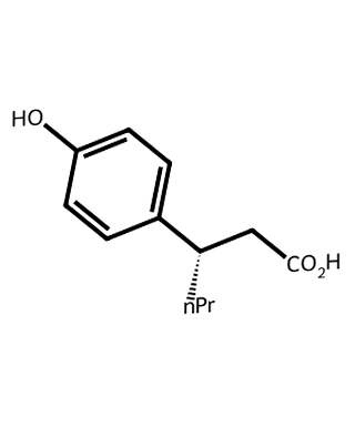 CCC[C@@H](CC(=O)O)c1ccc(O)cc1